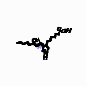 CCCCCC(O)/C=C/C1CNCC1CCCCCCC(=O)O